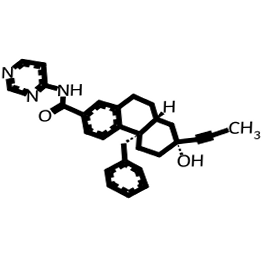 CC#C[C@@]1(O)CC[C@@]2(Cc3ccccc3)c3ccc(C(=O)Nc4ccncn4)cc3CC[C@@H]2C1